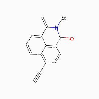 C#Cc1ccc2c(=O)n(CC)c(=C)c3cccc1c32